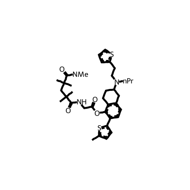 CCCN(CCc1cccs1)C1CCc2c(ccc(-c3ccc(C)s3)c2OC(=O)CNC(=O)C(C)(C)CC(C)(C)C(=O)NC)C1